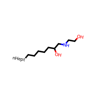 CCCCCCCCCCCCC(O)CNCCO